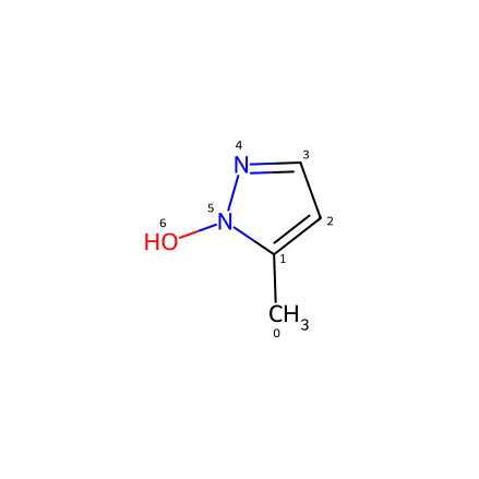 Cc1ccnn1O